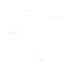 C=CC/C(C(=O)O)=C(/O)C(=O)O